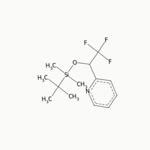 CC(C)(C)[Si](C)(C)OC(c1ccccn1)C(F)(F)F